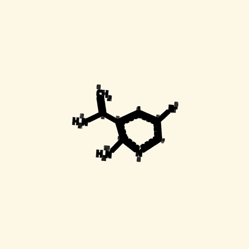 C=C(N)c1cc(Br)cnc1N